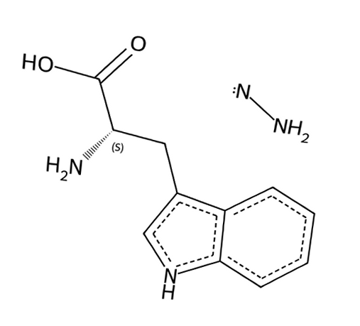 N[C@@H](Cc1c[nH]c2ccccc12)C(=O)O.[N]N